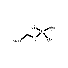 CCC[CH2][Sn]([CH2]CCC)([CH2]CCC)[O]COC